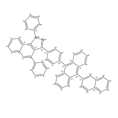 c1ccc(-c2cc3ccccc3c3c2c(-c2ccc(-c4c5ccccc5c(-c5ccc6ccccc6c5)c5ccccc45)cc2)nn3-c2ccccc2)cc1